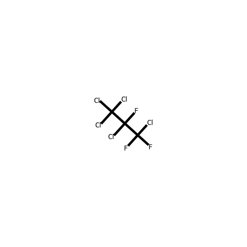 FC(F)(Cl)C(F)(Cl)C(Cl)(Cl)Cl